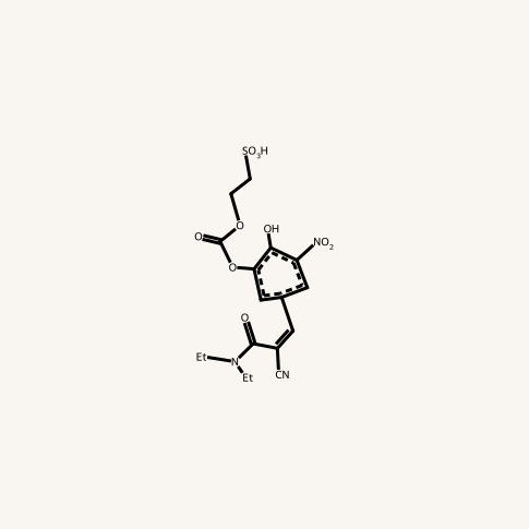 CCN(CC)C(=O)C(C#N)=Cc1cc(OC(=O)OCCS(=O)(=O)O)c(O)c([N+](=O)[O-])c1